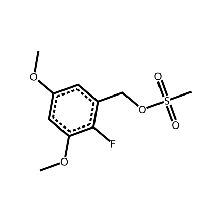 COc1cc(COS(C)(=O)=O)c(F)c(OC)c1